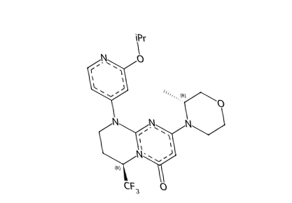 CC(C)Oc1cc(N2CC[C@H](C(F)(F)F)n3c2nc(N2CCOC[C@H]2C)cc3=O)ccn1